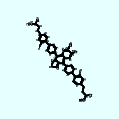 CCCCC(CC)CCc1ccc(-c2ccc(-c3c4nsnc4c(-c4ccc(-c5ccc(CCC(CC)CCCC)cc5F)cc4)c4nc(CC)c(CC)nc34)cc2)c(F)c1